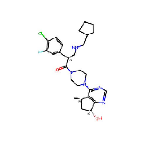 C[C@@H]1C[C@@H](O)c2ncnc(N3CCN(C(=O)[C@H](CNCC4CCCC4)c4ccc(Cl)c(F)c4)CC3)c21